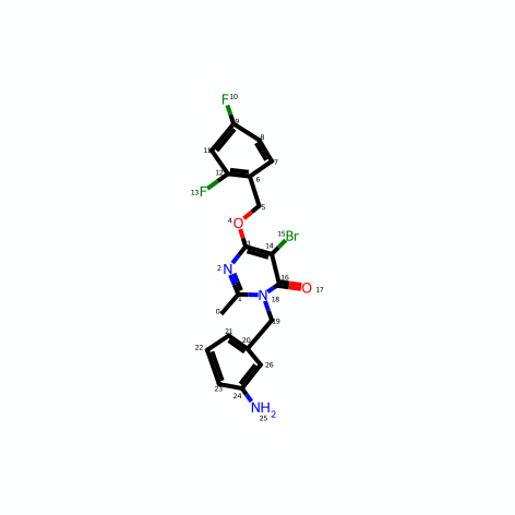 Cc1nc(OCc2ccc(F)cc2F)c(Br)c(=O)n1Cc1cccc(N)c1